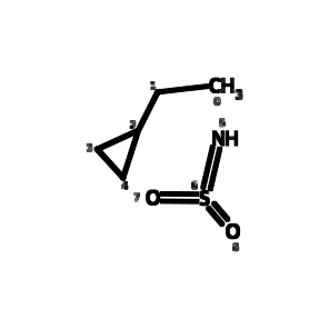 CCC1CC1.N=S(=O)=O